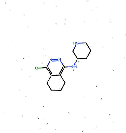 Clc1nnc(N[C@@H]2CCCNC2)c2c1CCCC2